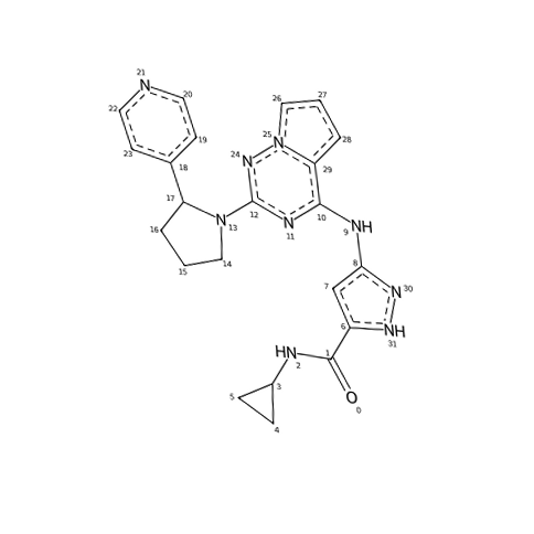 O=C(NC1CC1)c1cc(Nc2nc(N3CCCC3c3ccncc3)nn3cccc23)n[nH]1